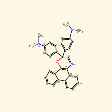 CN(C)c1ccc(C2(c3ccc(N(C)C)cc3)C=Nc3c(c4ccccc4c4ccccc34)O2)cc1